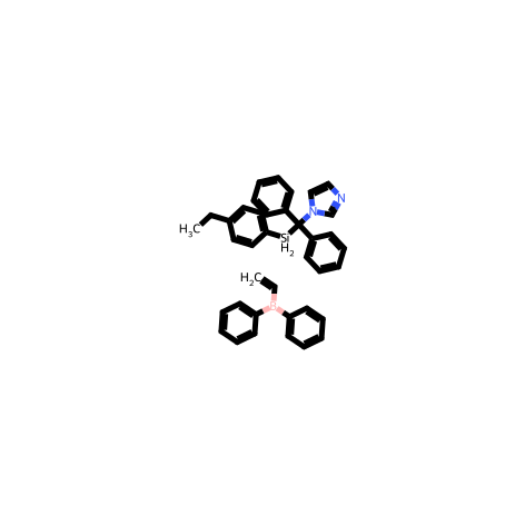 C=CB(c1ccccc1)c1ccccc1.CCc1ccc([SiH2]C(c2ccccc2)(c2ccccc2)n2ccnc2)cc1